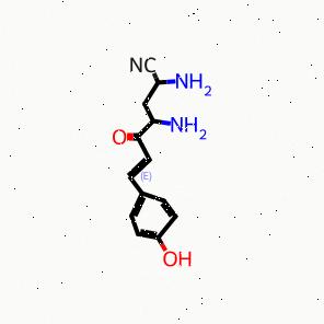 N#CC(N)CC(N)C(=O)/C=C/c1ccc(O)cc1